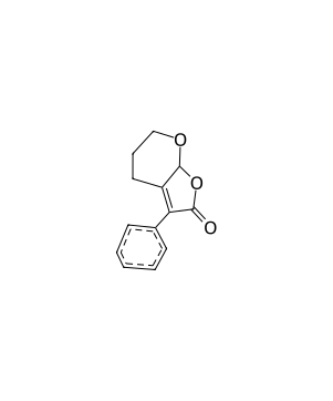 O=C1OC2OCCCC2=C1c1ccccc1